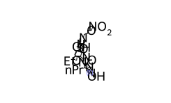 CCCc1c(/C=N/O)n(C)c2c(=O)[nH]c(-c3cc(S(=O)(=O)N4CCN(CCCO[N+](=O)[O-])CC4)ccc3OCC)nc12